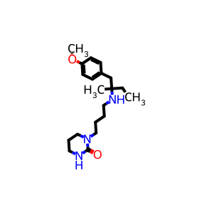 CCC(C)(Cc1ccc(OC)cc1)NCCCCN1CCCNC1=O